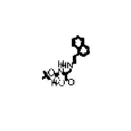 CC(C)(C)OC(=O)NC(CNCCc1cccc2ccccc12)C(=O)O